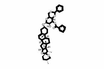 C[C@@H]1CC[C@@]2(OC1)O[C@H]1C[C@H]3[C@@H]4CC=C5C[C@@H](O[C@@H]6OC7COC(c8ccccc8)O[C@H]7C(OC(=O)c7ccccc7)[C@@H]6O)CC[C@]5(C)[C@H]4CC[C@]3(C)[C@H]1[C@@H]2C